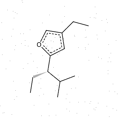 CCc1coc([C@@H](CC)C(C)C)c1